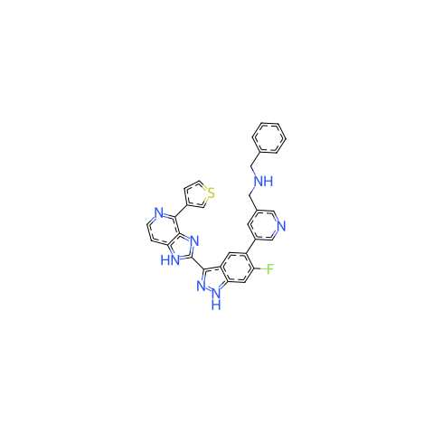 Fc1cc2[nH]nc(-c3nc4c(-c5ccsc5)nccc4[nH]3)c2cc1-c1cncc(CNCc2ccccc2)c1